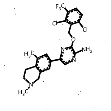 Cc1cc(-c2cnc(N)c(OCc3c(Cl)ccc(C(F)(F)F)c3Cl)n2)cc2c1CCN(C)C2